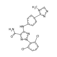 Cn1cnnc1-c1ccc(Nc2nn(-c3c(Cl)cccc3Cl)nc2C(N)=O)cc1